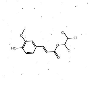 COc1cc(C=CC(=O)OC(Cl)C(Cl)Cl)ccc1O